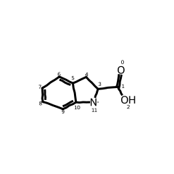 O=C(O)C1Cc2ccccc2[N]1